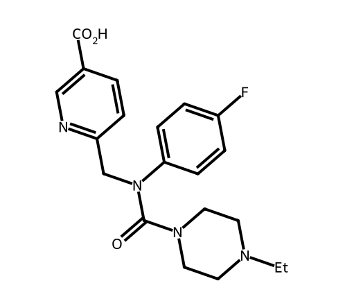 CCN1CCN(C(=O)N(Cc2ccc(C(=O)O)cn2)c2ccc(F)cc2)CC1